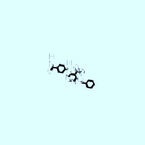 NC(=O)c1ccc(Nc2ncnc(OCc3ccccc3)c2[N+](=O)[O-])cc1